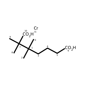 CC(C)(CCCC(=O)O)C(C)(C)C(=O)O.[Cr]